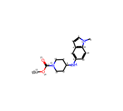 Cn1ccc2cc(NC3CCN(C(=O)OC(C)(C)C)CC3)ccc21